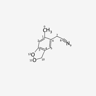 Cc1cc2c(cc1CC#N)COO2